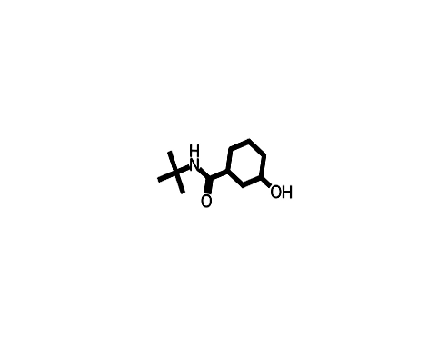 CC(C)(C)NC(=O)C1CCCC(O)C1